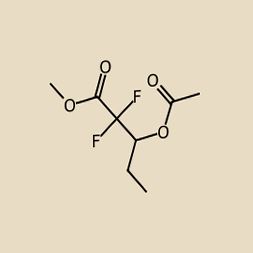 CCC(OC(C)=O)C(F)(F)C(=O)OC